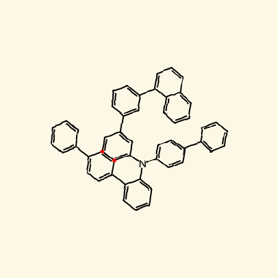 c1ccc(-c2ccc(-c3ccccc3N(c3ccc(-c4ccccc4)cc3)c3cccc(-c4cccc(-c5cccc6ccccc56)c4)c3)cc2)cc1